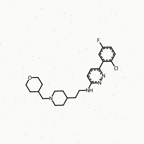 Fc1ccc(Cl)c(-c2ccc(NCCC3CCN(CC4CCOCC4)CC3)nn2)c1